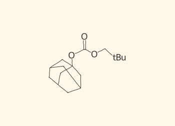 CC(C)(C)COC(=O)OC12CC3CC(CC(C3)C1)C2